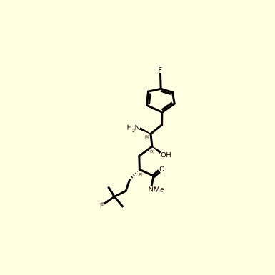 CNC(=O)[C@H](CCC(C)(C)F)C[C@H](O)[C@@H](N)Cc1ccc(F)cc1